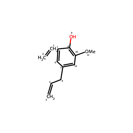 C=C.C=CCc1ccc(O)c(OC)c1